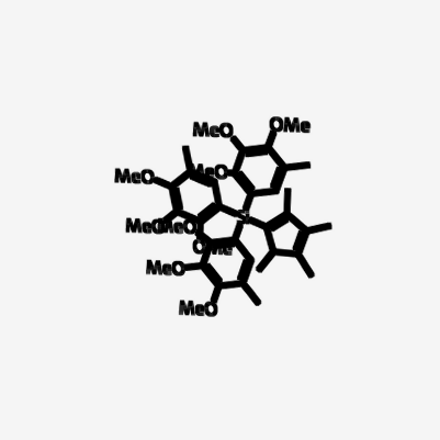 COc1c(C)cc([Si](C2=C(C)C(C)=C(C)C2C)(c2cc(C)c(OC)c(OC)c2OC)c2cc(C)c(OC)c(OC)c2OC)c(OC)c1OC